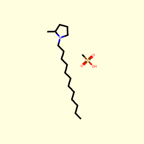 CCCCCCCCCCCCN1CCCC1C.CS(=O)(=O)O